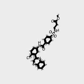 COC(=O)CCNS(=O)(=O)c1ccc(C(=O)Nc2ccc(Cl)c(-c3cnc4ccccc4n3)c2)cc1